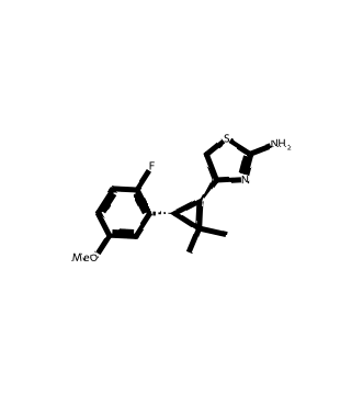 COc1ccc(F)c([C@@H]2[C@@H](C3CSC(N)=N3)C2(C)C)c1